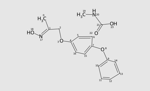 CC(COc1ccc(Oc2ccccc2)cc1)=NO.CNC(=O)O